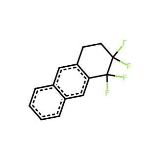 FC1(F)CCc2cc3ccccc3cc2C1(F)F